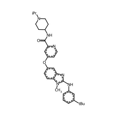 CC(C)N1CCC(NC(=O)c2cc(Oc3ccc4c(c3)nc(Nc3cccc(C(C)(C)C)c3)n4C)ccn2)CC1